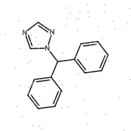 c1ccc(C(c2ccccc2)n2cncn2)cc1